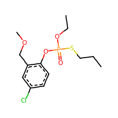 CCCSP(=O)(OCC)Oc1ccc(Cl)cc1COC